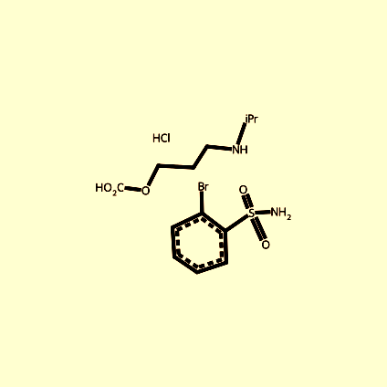 CC(C)NCCCOC(=O)O.Cl.NS(=O)(=O)c1ccccc1Br